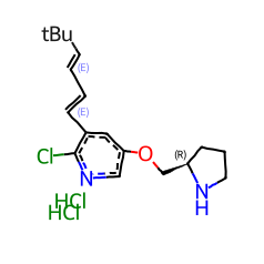 CC(C)(C)/C=C/C=C/c1cc(OC[C@H]2CCCN2)cnc1Cl.Cl.Cl